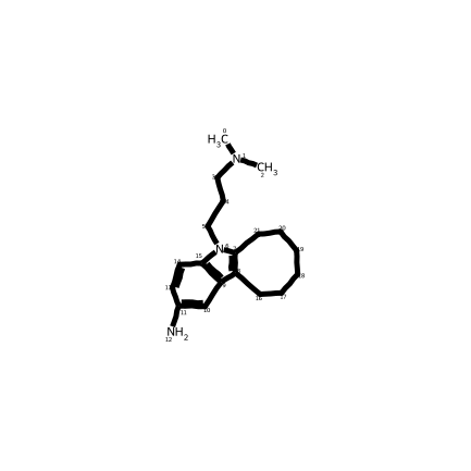 CN(C)CCCn1c2c(c3cc(N)ccc31)CCCCCC2